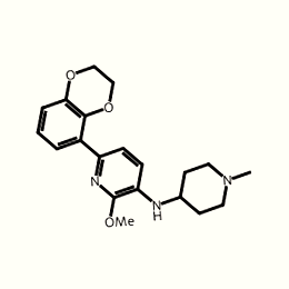 COc1nc(-c2cccc3c2OCCO3)ccc1NC1CCN(C)CC1